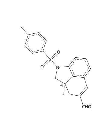 Cc1ccc(S(=O)(=O)N2C[C@]3(C)CC(C=O)=Cc4cccc2c43)cc1